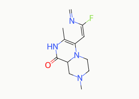 C=N/C(F)=C\C1=C(C)NC(=O)C2CN(C)CCN12